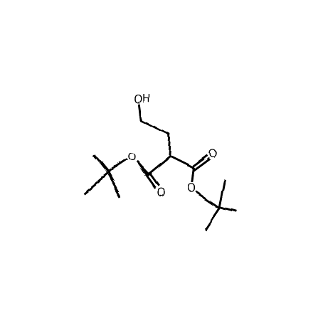 CC(C)(C)OC(=O)C(CCO)C(=O)OC(C)(C)C